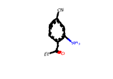 CCC(=O)c1ccc(C#N)cc1N